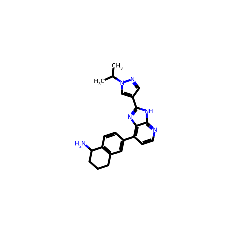 CC(C)n1cc(-c2nc3c(-c4ccc5c(c4)CCCC5N)ccnc3[nH]2)cn1